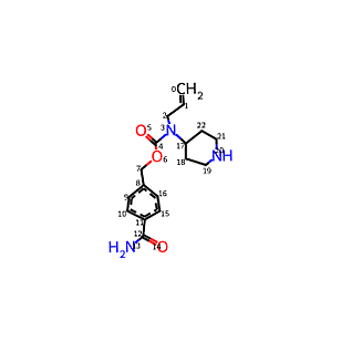 C=CCN(C(=O)OCc1ccc(C(N)=O)cc1)C1CCNCC1